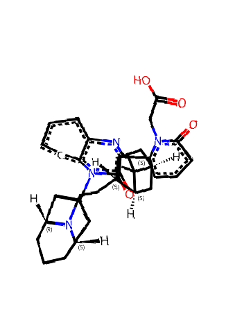 CC1(C)[C@H]2CC[C@@H](CCN3[C@@H]4CCC[C@H]3CC(n3c(=O)c(-c5cccc(=O)n5CC(=O)O)nc5ccccc53)C4)[C@@H]1C2